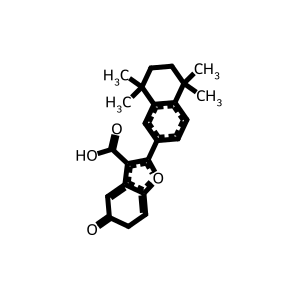 CC1(C)CCC(C)(C)c2cc(-c3oc4c(c3C(=O)O)=CC(=O)CC=4)ccc21